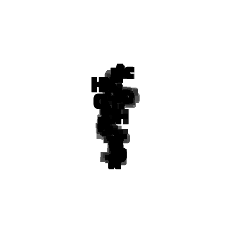 CC(=O)N1CC(Nc2cc(C(=O)NCC(O)CN3CCc4cc(OCc5ocnc5C)c(F)cc4C3)cc(N3CCCCC3)n2)C1